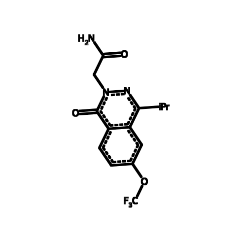 CC(C)c1nn(CC(N)=O)c(=O)c2ccc(OC(F)(F)F)cc12